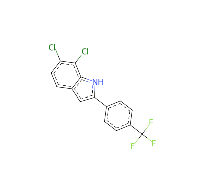 FC(F)(F)c1ccc(-c2cc3ccc(Cl)c(Cl)c3[nH]2)cc1